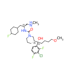 CNC[C@H](CC1CCC(F)CC1)NC(=O)N1CCC[C@@H]([C@@](O)(CCCCOC)c2ccc(F)c(Cl)c2F)C1